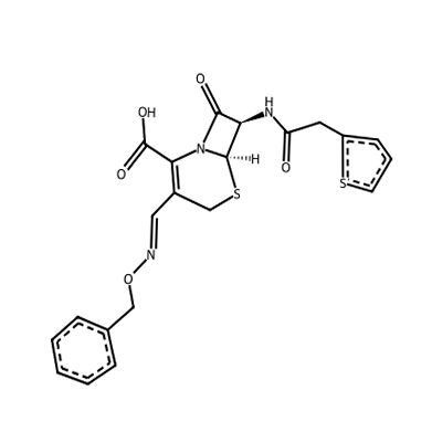 O=C(Cc1cccs1)N[C@@H]1C(=O)N2C(C(=O)O)=C(/C=N/OCc3ccccc3)CS[C@H]12